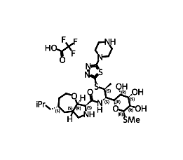 CS[C@H]1O[C@H]([C@H](NC(=O)[C@H]2NC[C@@H]3C[C@H](CC(C)C)CCO[C@H]32)[C@H](C)Sc2nnc(N3CCNCC3)s2)[C@H](O)[C@H](O)[C@H]1O.O=C(O)C(F)(F)F